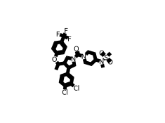 CC(Oc1ccc(C(F)(F)F)cc1)C1CN(C(=O)N2CCC(N(C)S(C)(=O)=O)CC2)CC1c1ccc(Cl)c(Cl)c1